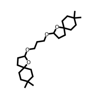 CC1(C)CCC2(CCC(OCCCOC3CCC4(CCC(C)(C)CC4)O3)O2)CC1